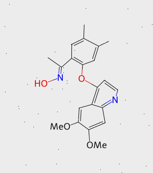 COc1cc2nccc(Oc3cc(C)c(C)cc3C(C)=NO)c2cc1OC